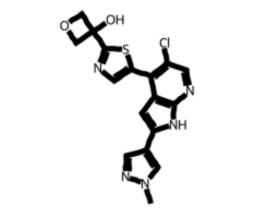 Cn1cc(-c2cc3c(-c4cnc(C5(O)COC5)s4)c(Cl)cnc3[nH]2)cn1